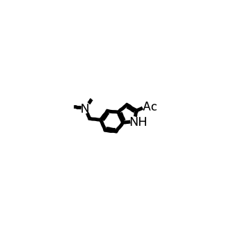 CC(=O)c1cc2cc(CN(C)C)ccc2[nH]1